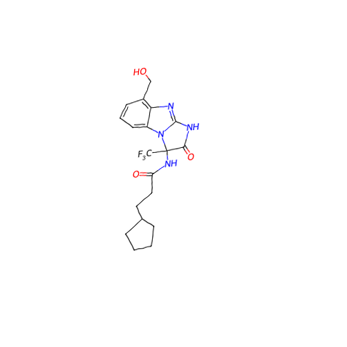 O=C(CCC1CCCC1)NC1(C(F)(F)F)C(=O)Nc2nc3c(CO)cccc3n21